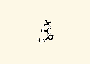 CC(C)(C)OC(=O)N1CCC1N